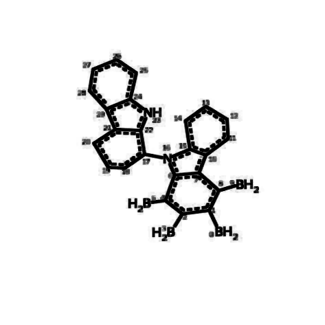 Bc1c(B)c(B)c2c(c1B)c1ccccc1n2-c1cccc2c1[nH]c1ccccc12